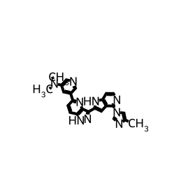 Cc1cn(-c2nccc3[nH]c(-c4n[nH]c5ccc(-c6cncc(N(C)C)c6)nc45)cc23)cn1